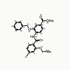 CCC(C)COc1cc(I)ccc1C(=O)Nc1ccc(C(=O)OC)cc1OCc1ccccc1